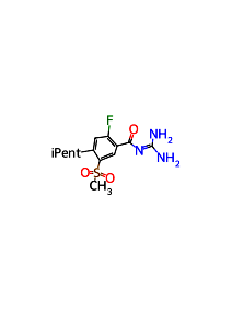 CCCC(C)c1cc(F)c(C(=O)N=C(N)N)cc1S(C)(=O)=O